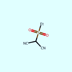 CCS(=O)(=O)C(C#N)C#N